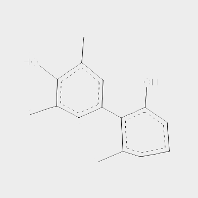 Cc1cc(-c2c(C)cccc2O)cc(C)c1O